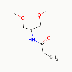 BCC(=O)NC(COC)COC